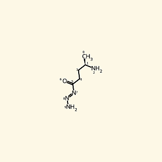 C[C@@H](N)CCC(=O)N=NN